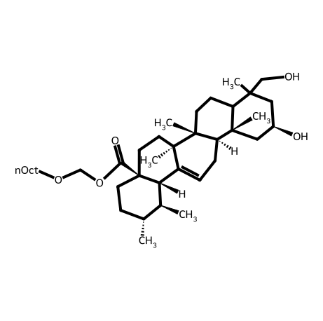 CCCCCCCCOCOC(=O)[C@]12CC[C@@H](C)[C@H](C)[C@H]1C1=CC[C@@H]3[C@@]4(C)C[C@H](O)CC(C)(CO)C4CC[C@@]3(C)[C@]1(C)CC2